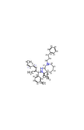 C=C(/C=C\C=C/C)C(NC(=C)C1(C)CCCCN(CCCc2ccccc2)CC1)c1cccc(CC)c1